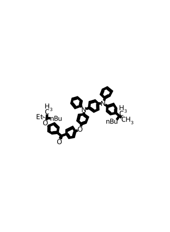 CCCCC(C)(C)c1ccc(N(c2ccccc2)c2ccc(N(c3ccccc3)c3ccc(Oc4ccc(C(=O)c5ccc(O[C@](C)(CC)CCCC)cc5)cc4)cc3)cc2)cc1